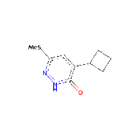 CSc1cc(C2CCC2)c(=O)[nH]n1